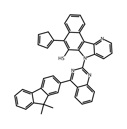 CC1(C)c2ccccc2-c2ccc(-c3nc(-n4c5cccnc5c5c6ccccc6c(C6=CC=CC6)c(S)c54)nc4ccccc34)cc21